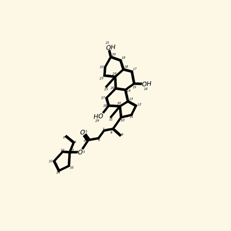 CCC1(OC(=O)CCC(C)C2CCC3C4C(O)CC5CC(O)CCC5(C)C4CC(O)C23C)CCCC1